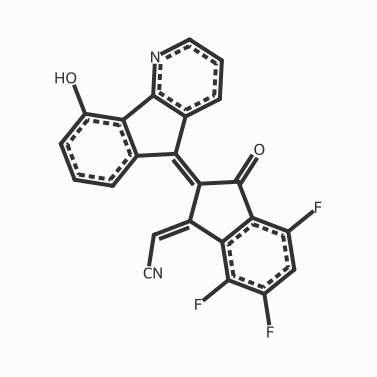 N#C/C=C1/C(=C2/c3cccnc3-c3c(O)cccc32)C(=O)c2c(F)cc(F)c(F)c21